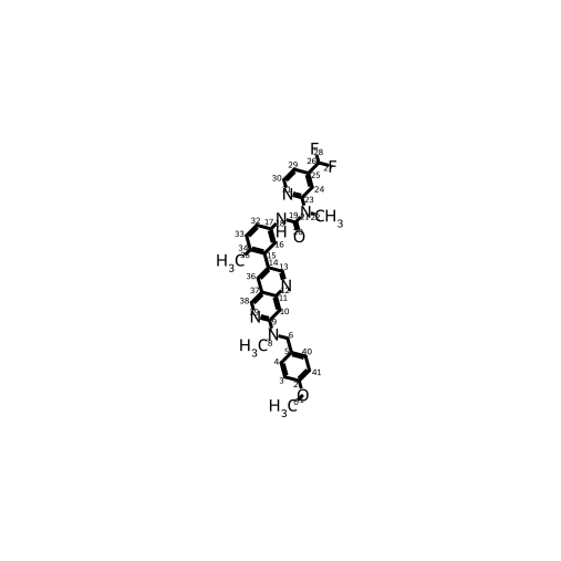 COc1ccc(CN(C)c2cc3ncc(-c4cc(NC(=O)N(C)c5cc(C(F)F)ccn5)ccc4C)cc3cn2)cc1